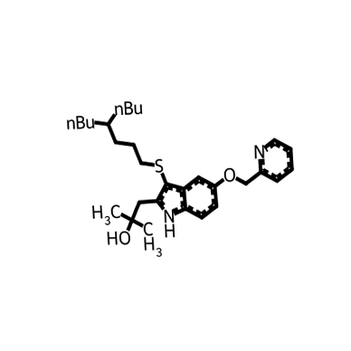 CCCCC(CCCC)CCCSc1c(CC(C)(C)O)[nH]c2ccc(OCc3ccccn3)cc12